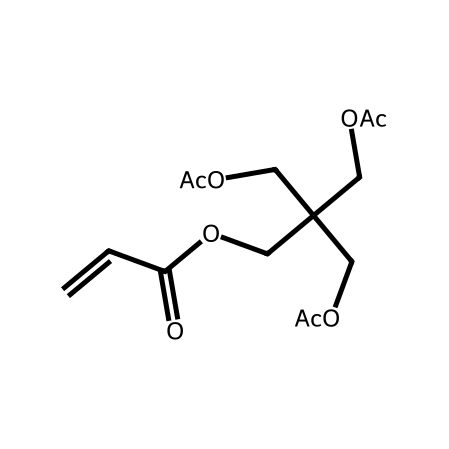 C=CC(=O)OCC(COC(C)=O)(COC(C)=O)COC(C)=O